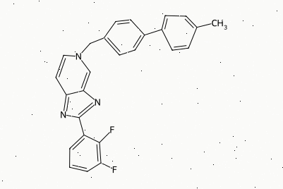 Cc1ccc(-c2ccc(Cn3ccc4nc(-c5cccc(F)c5F)nc-4c3)cc2)cc1